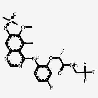 COc1c(N=S(C)(C)=O)cc2ncnc(Nc3ccc(F)cc3O[C@H](C)C(=O)NCC(F)(F)F)c2c1C